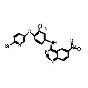 Cc1cc(Nc2ncnc3ccc([N+](=O)[O-])cc23)ccc1Oc1ccc(Br)nc1